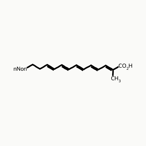 CCCCCCCCCCCC=CC=CC=CC=CC=C(C)C(=O)O